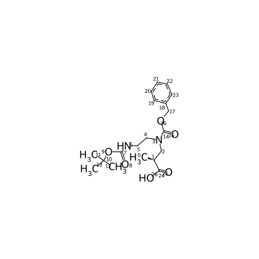 C[C@@H](CN(CCNC(=O)OC(C)(C)C)C(=O)OCc1ccccc1)C(=O)O